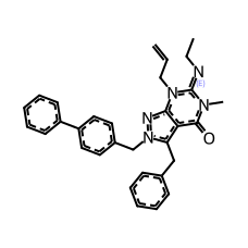 C=CCn1/c(=N\CC)n(C)c(=O)c2c(Cc3ccccc3)n(Cc3ccc(-c4ccccc4)cc3)nc21